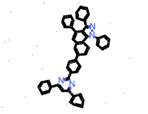 c1ccc(-c2cc(-c3ccccc3)nc(-c3ccc(-c4ccc5c(c4)cc(-c4ccccc4)c4c(-c6ccccc6)nn(-c6ccccc6)c45)cc3)n2)cc1